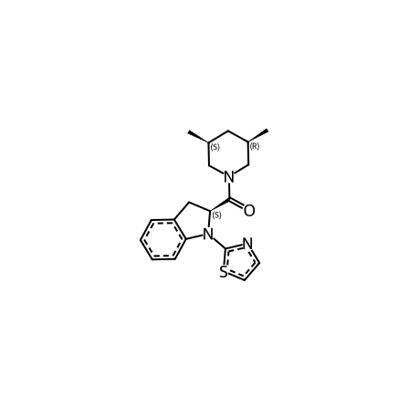 C[C@@H]1C[C@H](C)CN(C(=O)[C@@H]2Cc3ccccc3N2c2nccs2)C1